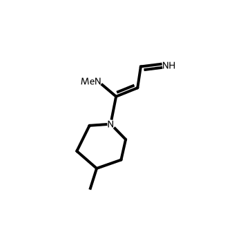 CN/C(=C\C=N)N1CCC(C)CC1